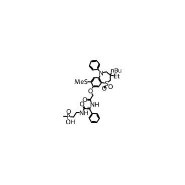 CCCCC1(CC)CN(c2ccccc2)c2cc(SC)c(OCC(=O)N[C@@H](C(=O)NCCP(C)(=O)O)c3ccccc3)cc2S(=O)(=O)C1